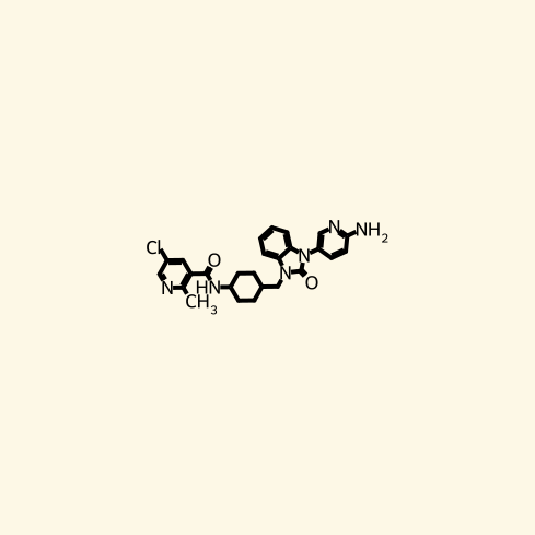 Cc1ncc(Cl)cc1C(=O)NC1CCC(Cn2c(=O)n(-c3ccc(N)nc3)c3ccccc32)CC1